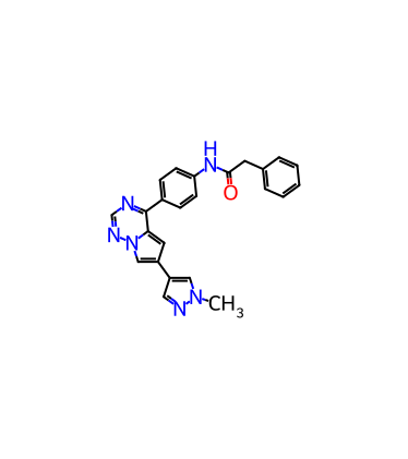 Cn1cc(-c2cc3c(-c4ccc(NC(=O)Cc5ccccc5)cc4)ncnn3c2)cn1